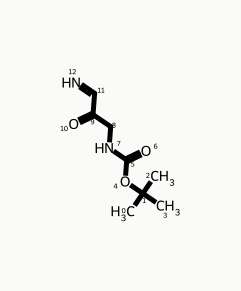 CC(C)(C)OC(=O)NCC(=O)C=N